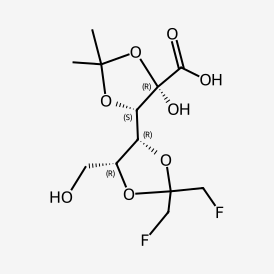 CC1(C)O[C@@H]([C@@H]2OC(CF)(CF)O[C@@H]2CO)[C@](O)(C(=O)O)O1